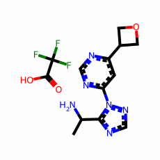 CC(N)c1ncnn1-c1cc(C2COC2)ncn1.O=C(O)C(F)(F)F